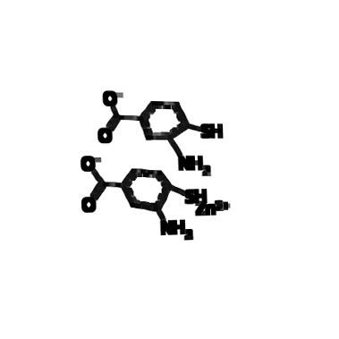 Nc1cc(C(=O)[O-])ccc1S.Nc1cc(C(=O)[O-])ccc1S.[Zn+2]